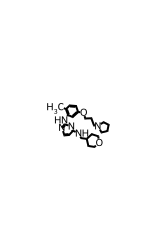 Cc1ccc(OCCCN2CCCC2)cc1Nc1nccc(NCC2CCOCC2)n1